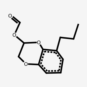 CCCc1cccc2c1OC(OC=O)CO2